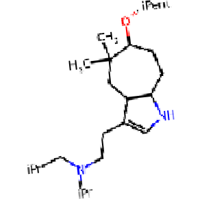 CCC[C@@H](C)OC1CCC2NC=C(CCN(CC(C)C)C(C)C)C2CC1(C)C